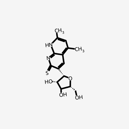 Cc1cc(C)c2cc([C@@H]3O[C@H](CO)C(O)[C@@H]3O)c(=S)nc-2[nH]1